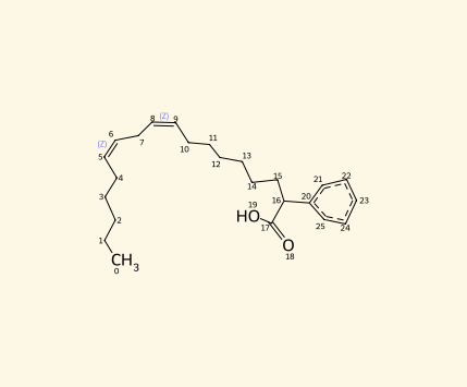 CCCCC/C=C\C/C=C\CCCCCCC(C(=O)O)c1ccccc1